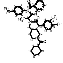 CCOc1ccc(-n2c(C(C)N(CC3CCN(C(=O)C4CCCCC4)CC3)C(=O)Cc3ccc(F)c(C(F)(F)F)c3)nc3ncccc3c2=O)cc1